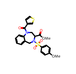 COC(=O)C1CN(C(=O)c2ccsc2)c2ccccc2CN1S(=O)(=O)c1ccc(OC)cc1